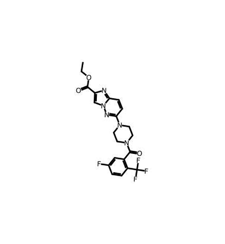 CCOC(=O)c1cn2nc(N3CCN(C(=O)c4cc(F)ccc4C(F)(F)F)CC3)ccc2n1